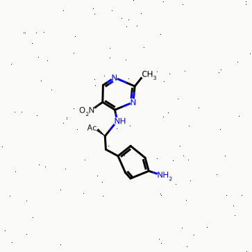 CC(=O)[C@H](Cc1ccc(N)cc1)Nc1nc(C)ncc1[N+](=O)[O-]